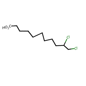 O=C(O)CCCCCCCCC(Cl)CCl